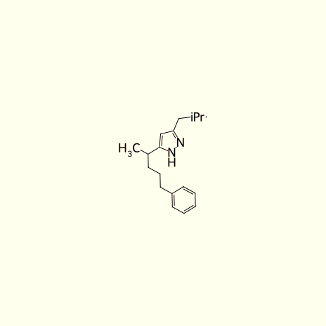 C[C](C)Cc1cc(C(C)CCCc2ccccc2)[nH]n1